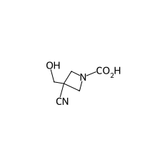 N#CC1(CO)CN(C(=O)O)C1